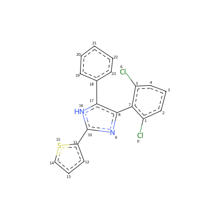 Clc1cccc(Cl)c1-c1nc(-c2cccs2)[nH]c1-c1ccccc1